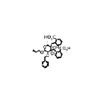 C=CCO[C@H]1O[C@H](C)[C@@](O)(Cc2ccccc2C(=O)O)[C@@](O)(Cc2ccccc2C(=O)O)[C@H]1OCc1ccccc1